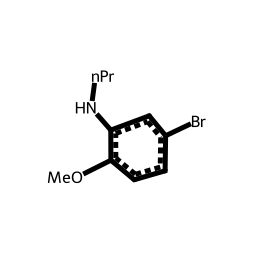 CCCNc1cc(Br)ccc1OC